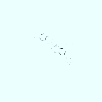 COc1ccc2c(c1)CC(c1nc(O)c3cc(C4C=NNC4)cc(OC)c3n1)CO2